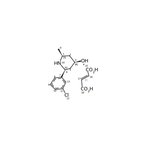 C[C@H]1C[C@@H](O)C[C@@H](c2cccc(Cl)c2)N1.O=C(O)/C=C/C(=O)O